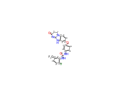 O=C1CCN2C(=N1)Nc1cc(Oc3ccc(NC(=O)Nc4cc(C(F)(F)F)ccc4F)cc3)ccc12